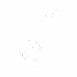 Clc1ccc(SCCCOc2ccc3c(-c4c(-c5ccccn5)nn5c4CCC5)ccnc3c2)cc1